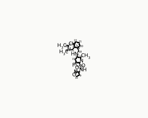 Cc1nc(S(=O)(=O)Nc2ccon2)c(F)cc1NCc1ccccc1CN(C)C(C)C